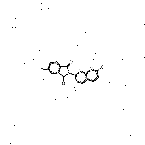 O=C1c2ccc(F)cc2C(O)N1c1ccc2ccc(Cl)nc2n1